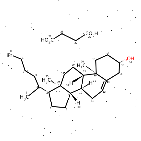 CC(C)CCCC(C)[C@H]1CC[C@H]2[C@@H]3CC=C4C[C@@H](O)CC[C@]4(C)[C@H]3CC[C@]12C.O=C(O)CCC(=O)O